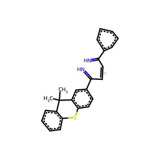 CC1(C)c2ccccc2Sc2ccc(C(=N)/C=C\C(=N)c3ccccc3)cc21